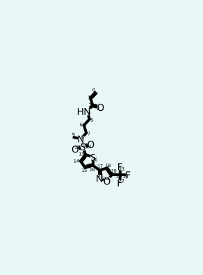 C=CC(=O)NCCCN(C)S(=O)(=O)c1ccc(-c2cc(C(F)(F)F)on2)s1